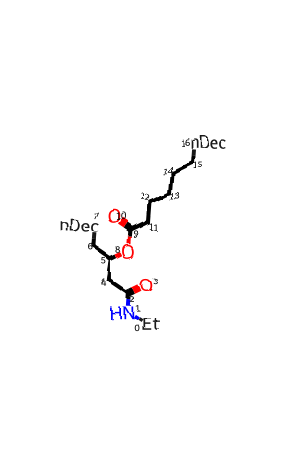 [CH2]CNC(=O)C[C@@H](CCCCCCCCCCC)OC(=O)CCCCCCCCCCCCCCC